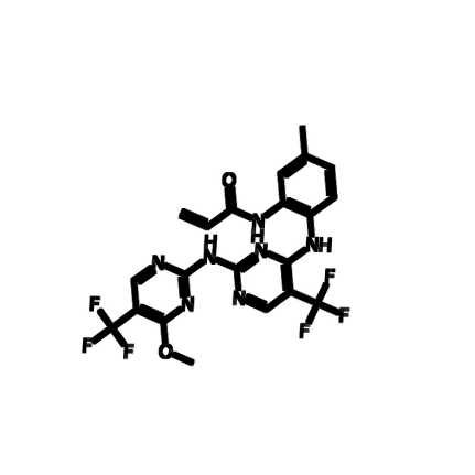 C=CC(=O)Nc1cc(C)ccc1Nc1nc(Nc2ncc(C(F)(F)F)c(OC)n2)ncc1C(F)(F)F